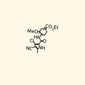 CCOC(=O)N1CC[C@@H](NC(=O)c2[nH]c(C)c(C#N)c2Cl)[C@@H](OC)C1